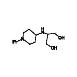 CC(C)N1CCC(NC(CO)CO)CC1